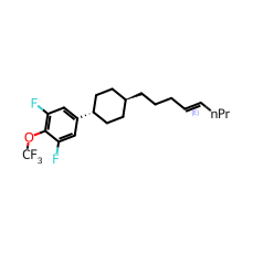 CCC/C=C/CCC[C@H]1CC[C@H](c2cc(F)c(OC(F)(F)F)c(F)c2)CC1